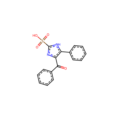 O=C(c1ccccc1)c1nc(S(=O)(=O)O)[nH]c1-c1ccccc1